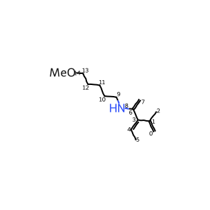 C=C(C)/C(=C\C)C(=C)NCCCCCOC